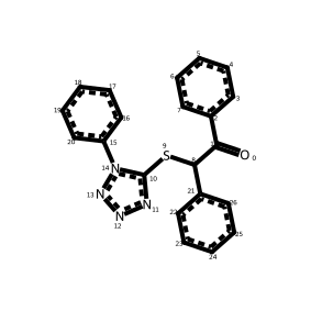 O=C(c1ccccc1)C(Sc1nnnn1-c1ccccc1)c1ccccc1